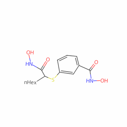 CCCCCCC(Sc1cccc(C(=O)NO)c1)C(=O)NO